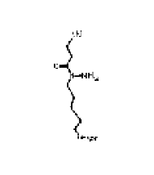 CCCCCCCCCCCCN(N)C(=O)CCS